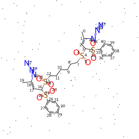 CC(=CC(S(=O)(=O)CCCCCCS(=O)(=O)C(C=C(C)N=[N+]=[N-])S(=O)(=O)c1ccccc1)S(=O)(=O)c1ccccc1)N=[N+]=[N-]